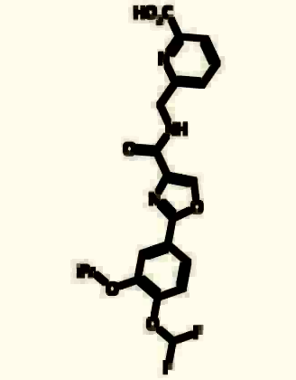 CC(C)Oc1cc(-c2nc(C(=O)NCc3cccc(C(=O)O)n3)co2)ccc1OC(F)F